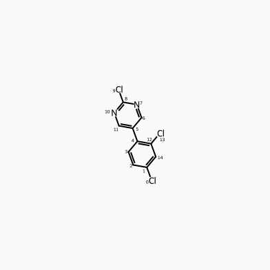 Clc1ccc(-c2cnc(Cl)nc2)c(Cl)c1